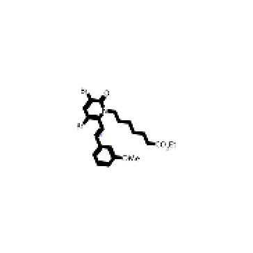 CCOC(=O)CCCCCCn1c(/C=C/c2cccc(OC)c2)c(Br)cc(Br)c1=O